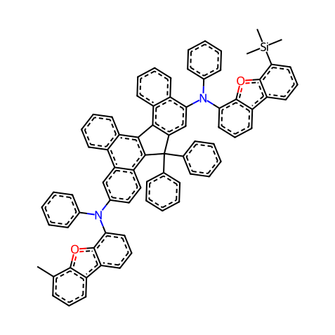 Cc1cccc2c1oc1c(N(c3ccccc3)c3ccc4c5c(c6ccccc6c4c3)-c3c(cc(N(c4ccccc4)c4cccc6c4oc4c([Si](C)(C)C)cccc46)c4ccccc34)C5(c3ccccc3)c3ccccc3)cccc12